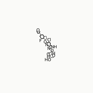 O[C@@H]1CO[C@H]2[C@@H]1OC[C@H]2Oc1nc2nc(OC3CCc4cc(-c5ccoc5)cc(F)c43)c(Cl)cc2[nH]1